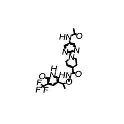 CC(=O)Nc1cnc(N2CC=C(C(=O)NOC(C)c3c[nH]c(=O)c(C(F)(F)F)c3)CC2)nc1